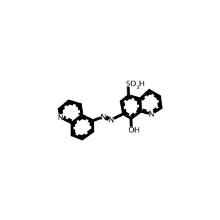 O=S(=O)(O)c1cc(/N=N/c2cccc3ncccc23)c(O)c2ncccc12